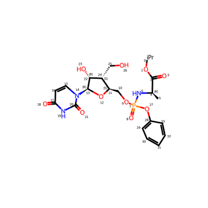 CC(C)OC(=O)[C@@H](C)NP(=O)(OC[C@H]1O[C@@H](n2ccc(=O)[nH]c2=O)[C@H](O)[C@@H]1CO)Oc1ccccc1